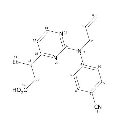 C=CCN(c1ccc(C#N)cc1)c1nccc(C(CC)CC(=O)O)n1